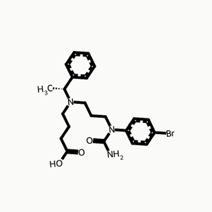 C[C@H](c1ccccc1)N(CCCC(=O)O)CCCN(C(N)=O)c1ccc(Br)cc1